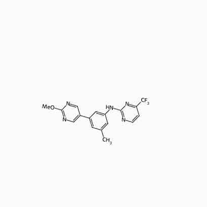 COc1ncc(-c2cc(C)cc(Nc3nccc(C(F)(F)F)n3)c2)cn1